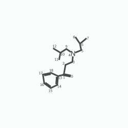 C=C(CCN(CC(C)C)CC(C)C)c1ccccc1